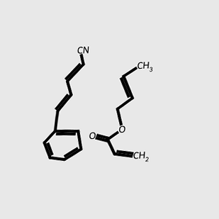 C=CC(=O)OCC=CC.N#CC=CC=Cc1ccccc1